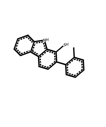 Cc1ccccc1-c1ccc2c([nH]c3ccccc32)c1S